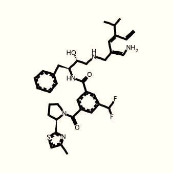 C=C/C(=C\C(=C/N)CNC[C@@H](O)[C@H](Cc1ccccc1)NC(=O)c1cc(C(=O)N2CCC[C@@H]2c2nc(C)cs2)cc(C(F)F)c1)C(C)C